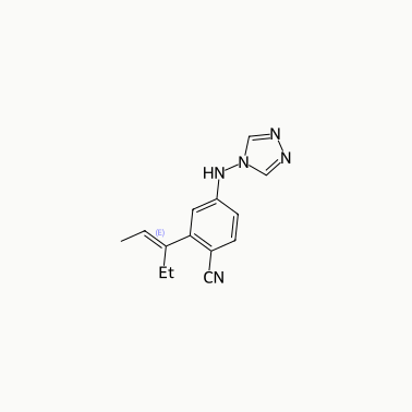 C/C=C(\CC)c1cc(Nn2cnnc2)ccc1C#N